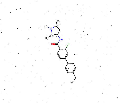 C[C@@H]1[C@H](NC(=O)c2ccc(-c3ccc(CC#N)cc3)cc2Cl)C[C@H](C)N1C#N